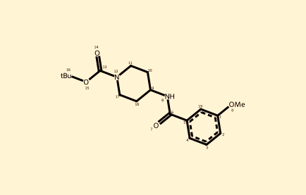 COc1cccc(C(=O)NC2CCN(C(=O)OC(C)(C)C)CC2)c1